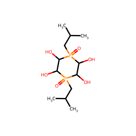 CC(C)CP1(=O)C(O)C(O)P(=O)(CC(C)C)C(O)C1O